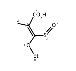 CCOC([S+]=O)=C(C)C(=O)O